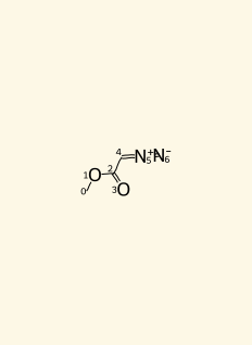 COC(=O)C=[N+]=[N-]